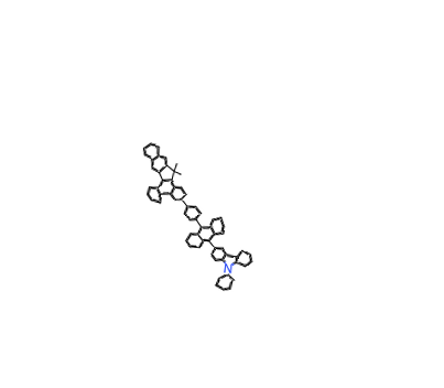 CC1(C)c2cc3ccccc3cc2-c2c1c1ccc(-c3ccc(-c4c5ccccc5c(-c5ccc6c(c5)c5ccccc5n6-c5ccccc5)c5ccccc45)cc3)cc1c1ccccc21